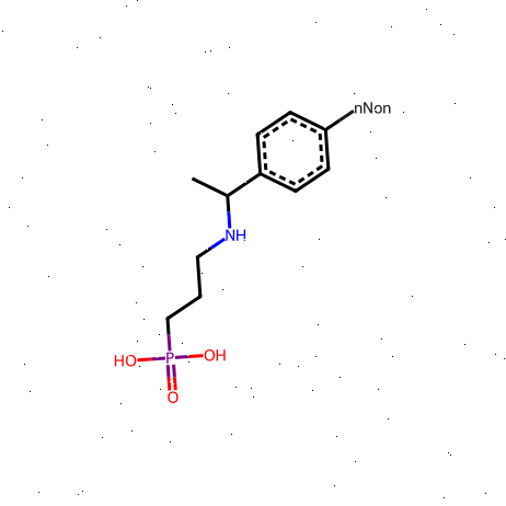 CCCCCCCCCc1ccc(C(C)NCCCP(=O)(O)O)cc1